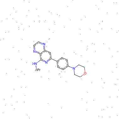 CCCNc1nc(-c2ccc(N3CCOCC3)cc2)cc2nccnc12